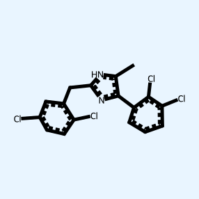 Cc1[nH]c(Cc2cc(Cl)ccc2Cl)nc1-c1cccc(Cl)c1Cl